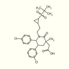 CC1(CC(=O)O)CC(c2cccc(Cl)c2)C(c2ccc(Cl)cc2)N(CCC2CC2S(=O)(=O)C(C)(C)C)C1=O